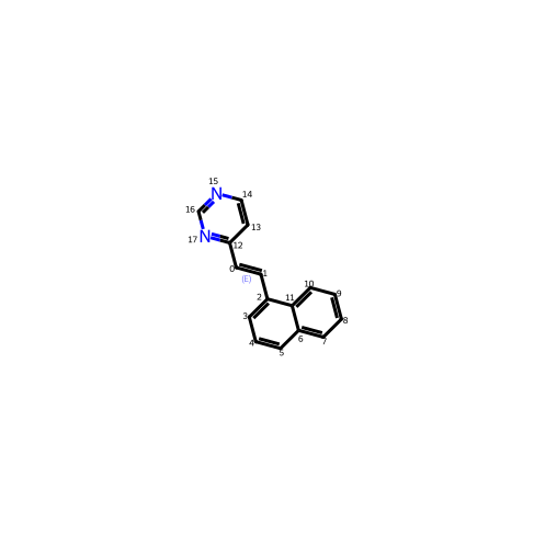 C(=C\c1cccc2ccccc12)/c1ccncn1